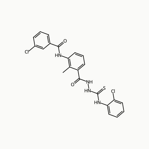 Cc1c(NC(=O)c2cccc(Cl)c2)cccc1C(=O)NNC(=S)Nc1ccccc1Cl